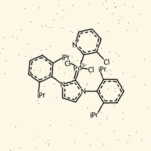 CC(C)c1cccc(C(C)C)c1-n1ccn(-c2c(C(C)C)cccc2C(C)C)[c]1=[Pd-3]([Cl])([Cl])[c]1ncccc1Cl